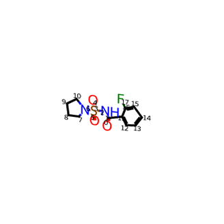 O=C(NS(=O)(=O)N1CCCC1)c1ccccc1F